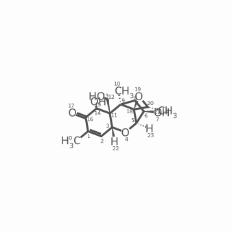 CC1=C[C@H]2O[C@@H]3[C@H](O)C[C@](C)([C@@]2(CO)[C@H](O)C1=O)[C@@]31O[C@@H]1C